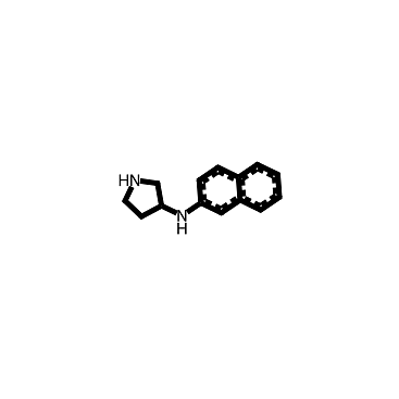 c1ccc2cc(NC3CCNC3)ccc2c1